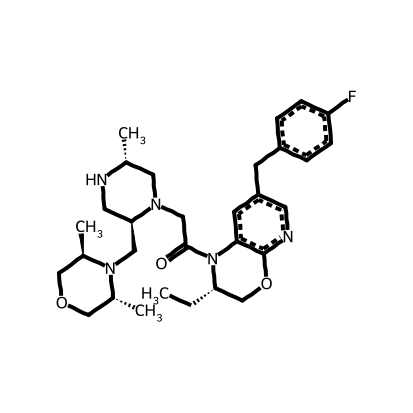 CC[C@H]1COc2ncc(Cc3ccc(F)cc3)cc2N1C(=O)CN1C[C@@H](C)NC[C@@H]1CN1[C@H](C)COC[C@H]1C